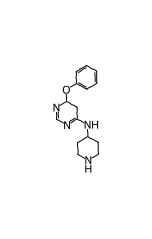 C1=NC(Oc2ccccc2)CC(NC2CCNCC2)=N1